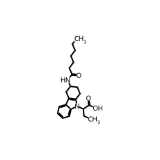 CCCCCCC(=O)NC1CCc2c(c3ccccc3n2C(CC)C(=O)O)C1